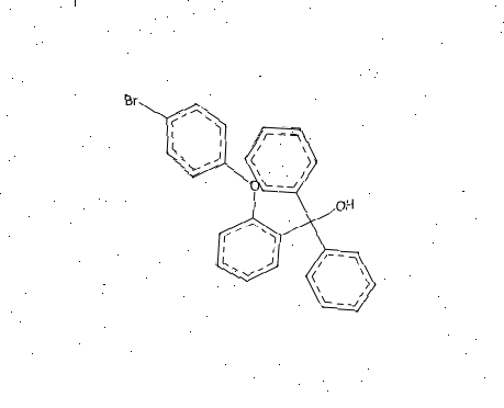 OC(c1ccccc1)(c1ccccc1)c1ccccc1Oc1ccc(Br)cc1